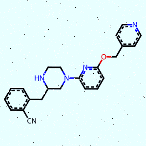 N#Cc1ccccc1CC1CN(c2cccc(OCc3ccncc3)n2)CCN1